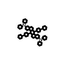 c1ccc(-c2ccc(-c3c4ccc5cc(N(c6ccccc6)c6ccccc6)ccc5c4c(-c4ccc(-c5ccccc5)cc4)c4ccc5cc(N(c6ccccc6)c6ccccc6)ccc5c34)cc2)cc1